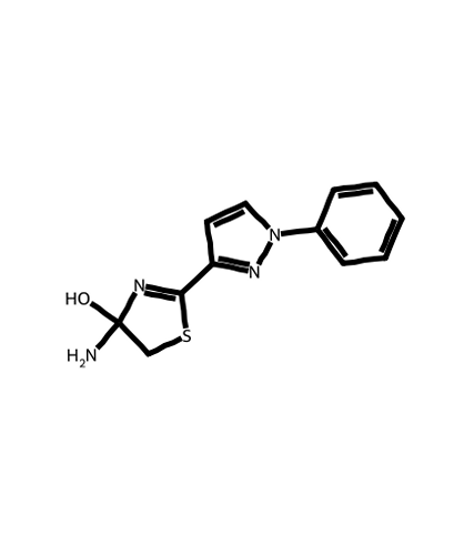 NC1(O)CSC(c2ccn(-c3ccccc3)n2)=N1